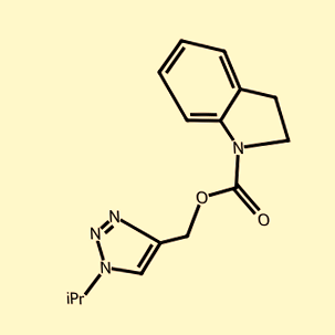 CC(C)n1cc(COC(=O)N2CCc3ccccc32)nn1